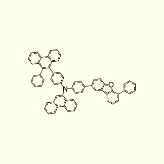 c1ccc(-c2c(-c3ccc(N(c4ccc(-c5ccc6oc7c(-c8ccccc8)cccc7c6c5)cc4)c4cc5ccccc5c5ccccc45)cc3)c3ccccc3c3ccccc23)cc1